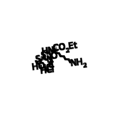 CCOC(=O)[C@H](CCCCCCCN)N[C@H]1CS[C@H](c2cccs2)CN(CC(=O)O)C1=O.Cl.Cl